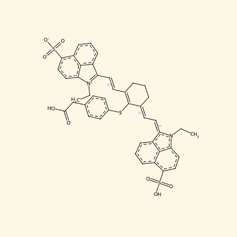 CCn1/c(=C/C=C2\CCCC(/C=C/C3=[N+](CC)c4ccc(S(=O)(=O)[O-])c5cccc3c45)=C2Sc2ccc(CC(=O)O)cc2)c2cccc3c(S(=O)(=O)O)ccc1c32